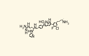 C[C@H](N)CCCc1cc(Cl)c(F)c(-c2cc3c([nH]2)=NC(O)N(c2ccc(CN[C@H](CCNC(=N)N)CNc4cccnc4)cc2)C=3)c1